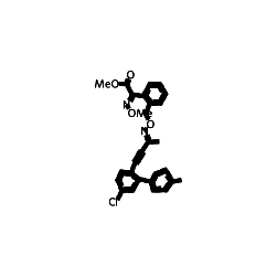 CO/N=C(/C(=O)OC)c1ccccc1CO/N=C(\C)C#Cc1ccc(Cl)cc1-c1ccc(C)cc1